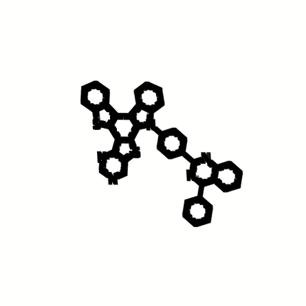 c1ccc(-c2nc(-c3ccc(-n4c5ccccc5c5c6c7ccccc7sc6c6c7ncncc7sc6c54)cc3)nc3ccccc23)cc1